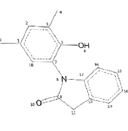 Cc1cc(C)c(O)c(N2C(=O)Cc3ccccc32)c1